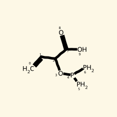 C=CC(OP(P)P)C(=O)O